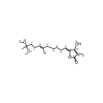 COC(C)(CC/C=C(\C)CCCC/C=C1\OC(=O)C(C)=C1O)OC